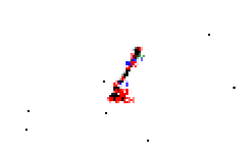 O=C(CNC(=O)C(Br)c1ccccc1)NCCCCCCCCCCNC(=O)c1ccc(-c2c3ccc(=O)cc-3oc3cc(O)ccc23)c(C(=O)O)c1